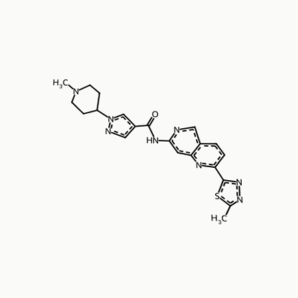 Cc1nnc(-c2ccc3cnc(NC(=O)c4cnn(C5CCN(C)CC5)c4)cc3n2)s1